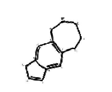 [CH]1C=Cc2cc3c(cc21)CCCCC3